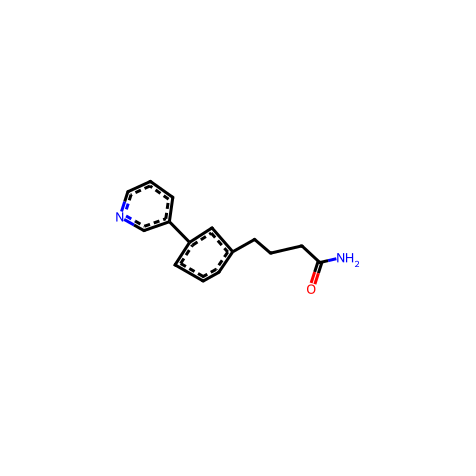 NC(=O)CCCc1cccc(-c2cccnc2)c1